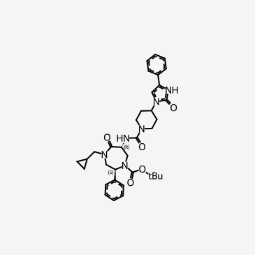 CC(C)(C)OC(=O)N1C[C@@H](NC(=O)N2CCC(n3cc(-c4ccccc4)[nH]c3=O)CC2)C(=O)N(CC2CC2)C[C@@H]1c1ccccc1